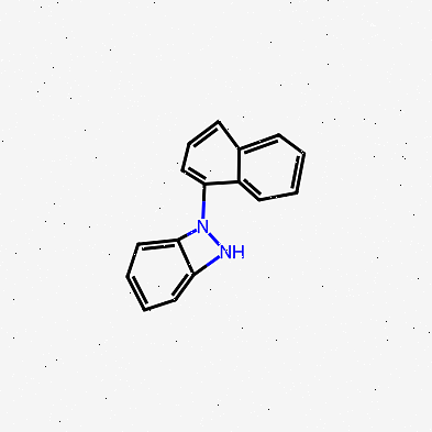 c1ccc2c(-n3[nH]c4ccccc43)cccc2c1